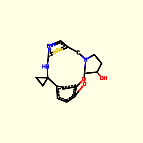 O[C@H]1CCN2Cc3cnc(s3)NC3(CC3)c3ccc4c(c3)OC12O4